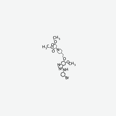 CCOC(=O)CC(C(=O)OCC)N1CCC(CCOc2cc3ncnc(Nc4cccc(Br)c4)c3cc2OC)CC1